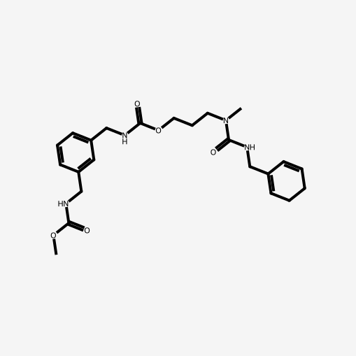 COC(=O)NCc1cccc(CNC(=O)OCCCN(C)C(=O)NCC2=CCCC=C2)c1